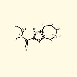 CON(C)C(=O)c1cc2n(n1)CCCNC2